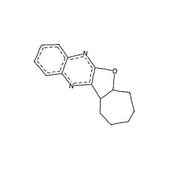 c1ccc2nc3c(nc2c1)OC1CCCCCC31